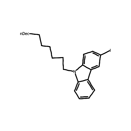 CCCCCCCCCCCCCCCCn1c2ccccc2c2cc(I)ccc21